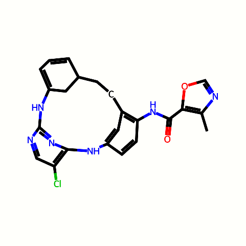 Cc1ncoc1C(=O)Nc1ccc2cc1CCC1C=CC=C(C1)Nc1ncc(Cl)c(n1)N2